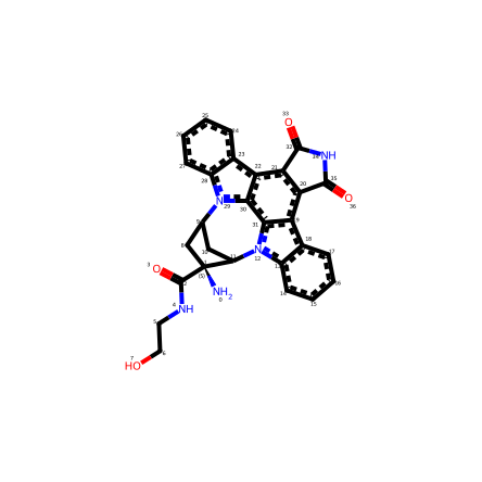 N[C@@]1(C(=O)NCCO)CC2CC1n1c3ccccc3c3c4c(c5c6ccccc6n2c5c31)C(=O)NC4=O